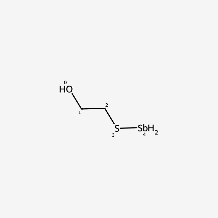 OCC[S][SbH2]